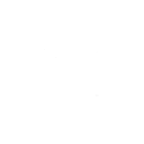 [CH2]CC(C)C(O)(C(C)C)C(CCCCCC)CCCCCCCC